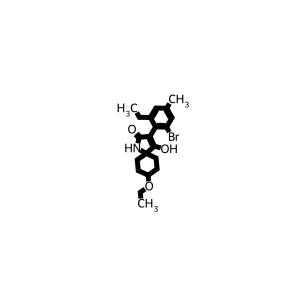 CCOC1CCC2(CC1)NC(=O)C(c1c(Br)cc(C)cc1CC)=C2O